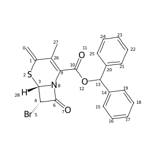 C=C1S[C@H]2[C@@H](Br)C(=O)N2C(C(=O)OC(c2ccccc2)c2ccccc2)=C1C